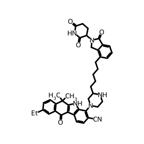 CCc1ccc2c(c1)C(=O)c1c([nH]c3c(N4CCNC(CCCCCc5cccc6c5CN(C5CCC(=O)NC5=O)C6=O)C4)c(C#N)ccc13)C2(C)C